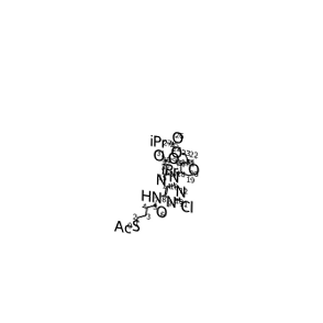 CC(=O)SCCCC(=O)Nc1nc(Cl)nc2c1ncn2C1CO[C@](C)(COC(=O)C(C)C)[C@H]1OC(=O)C(C)C